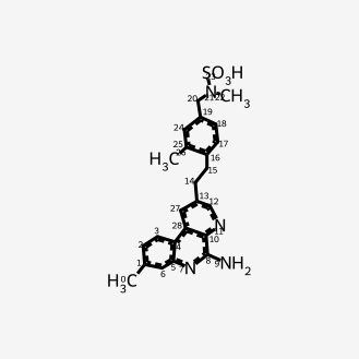 Cc1ccc2c(c1)nc(N)c1ncc(CCc3ccc(CN(C)S(=O)(=O)O)cc3C)cc12